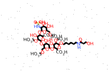 O=C(CCO)NCCCCCCOC1OC(C(=O)O)C(OC2CC(O)C(OC3OC(C(=O)O)C(OC4OC(COS(=O)(=O)O)C(O)C(O)C4NS(=O)O)C(O)C3OS(=O)(=O)O)C(COS(=O)(=O)O)O2)C(O)C1OS(=O)(=O)O